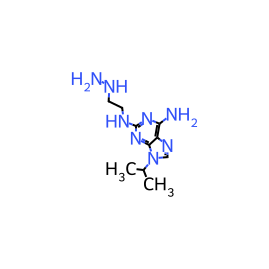 CC(C)n1cnc2c(N)nc(NCCNN)nc21